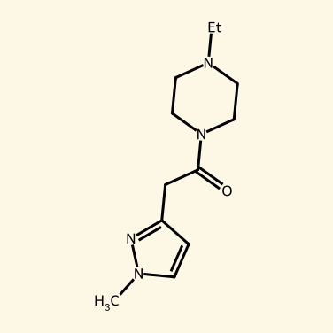 CCN1CCN(C(=O)Cc2ccn(C)n2)CC1